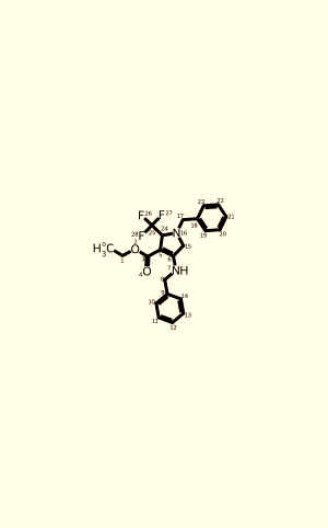 CCOC(=O)C1=C(NCc2ccccc2)CN(Cc2ccccc2)C1C(F)(F)F